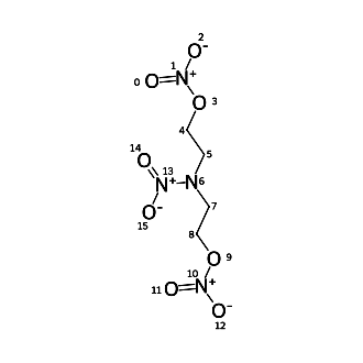 O=[N+]([O-])OCCN(CCO[N+](=O)[O-])[N+](=O)[O-]